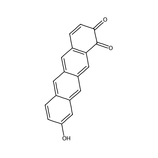 O=C1C=Cc2cc3cc4ccc(O)cc4cc3cc2C1=O